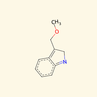 COCC1=c2ccccc2=NC1